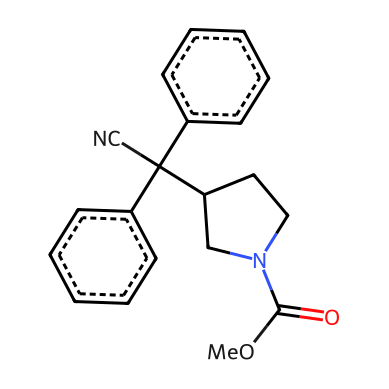 COC(=O)N1CCC(C(C#N)(c2ccccc2)c2ccccc2)C1